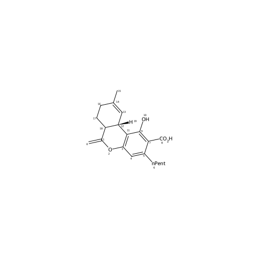 C=C1Oc2cc(CCCCC)c(C(=O)O)c(O)c2[C@H]2C=C(C)CCC12